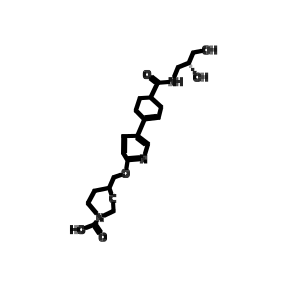 O=C(NC[C@@H](O)CO)C1CC=C(c2ccc(OCC3CCN(C(=O)O)CC3)nc2)CC1